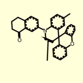 Cc1ccc2c(c1)C1(c3ccccc3Oc3ccccc31)c1cc(C)ccc1N2c1ccc2c(c1)C(=O)CCC2